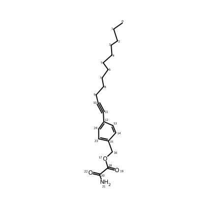 CCCCCCCCCCC#Cc1ccc(COC(=O)C(N)=O)cc1